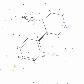 O=C(O)[C@@H]1CCNC[C@H]1c1ccc(F)cc1F